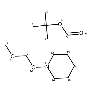 CC(C)(C)OC=O.COCON1CCCCC1